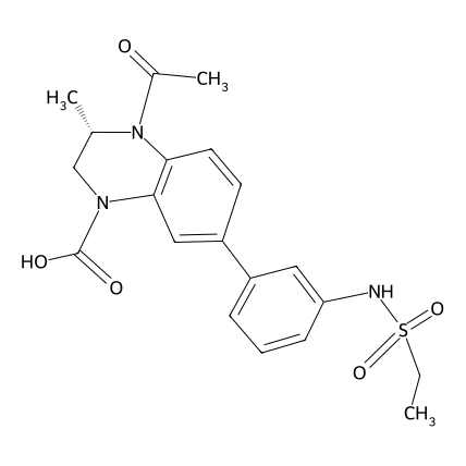 CCS(=O)(=O)Nc1cccc(-c2ccc3c(c2)N(C(=O)O)C[C@H](C)N3C(C)=O)c1